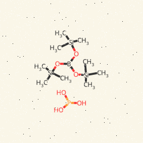 C[Si](C)(C)OB(O[Si](C)(C)C)O[Si](C)(C)C.OP(O)O